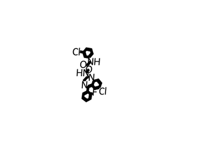 O=C(Nc1cccc(Cl)c1)ONC1C=NC(c2ccccc2F)=c2cc(Cl)ccc2=N1